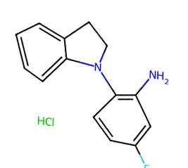 Cl.Nc1cc(F)ccc1N1CCc2ccccc21